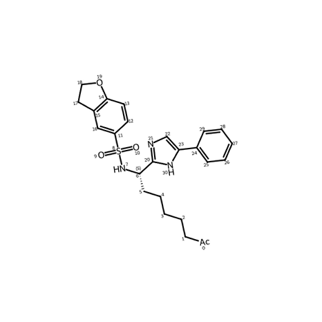 CC(=O)CCCCC[C@H](NS(=O)(=O)c1ccc2c(c1)CCO2)c1ncc(-c2ccccc2)[nH]1